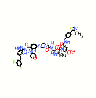 Cc1ncsc1-c1ccc(CNC(=O)[C@@H]2C[C@@H](O)CN2C(=O)[C@@H](NC(=O)CNC(=O)CN2CCN(c3ccc(C(=O)Nc4n[nH]c5ccc(Cc6cc(F)cc(F)c6)cc45)c(NC4CCOCC4)c3)CC2)C(C)(C)C)cc1